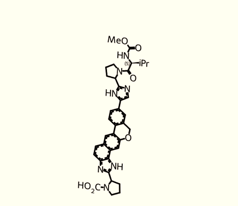 COC(=O)N[C@H](C(=O)N1CCCC1c1ncc(-c2ccc3c(c2)COc2cc4c(ccc5nc(C6CCCN6C(=O)O)[nH]c54)cc2-3)[nH]1)C(C)C